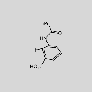 CC(C)C(=O)Nc1cccc(C(=O)O)c1F